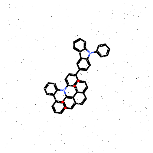 c1ccc(-c2ccccc2N(c2ccc(-c3ccc4c(c3)c3ccccc3n4-c3ccccc3)cc2)c2cccc3ccc4ccccc4c23)cc1